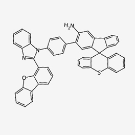 Nc1cc2c(cc1-c1ccc(-n3c(-c4cccc5c4oc4ccccc45)nc4ccccc43)cc1)C1(c3ccccc3Sc3ccccc31)c1ccccc1-2